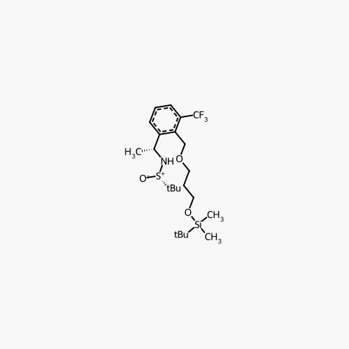 C[C@@H](N[S@@+]([O-])C(C)(C)C)c1cccc(C(F)(F)F)c1COCCCO[Si](C)(C)C(C)(C)C